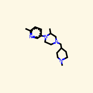 Cc1ccc(N2CCN(CC3CCN(C)CC3)CC2C)cn1